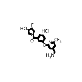 Cl.NCc1cc(Oc2cccc(C(=O)N3C[C@H](O)[C@@H](F)C3)c2)nc(C(F)(F)F)c1